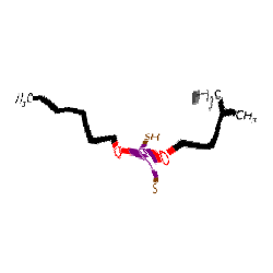 CCCCCCOP(=S)(S)OCCC(C)C